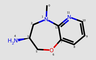 CN1C[C@H](N)COc2cccnc21